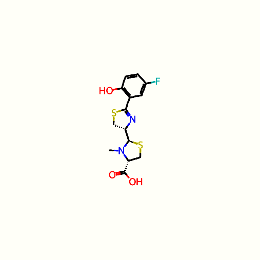 CN1[C@@H](C(=O)O)CS[C@@H]1[C@@H]1CSC(c2cc(F)ccc2O)=N1